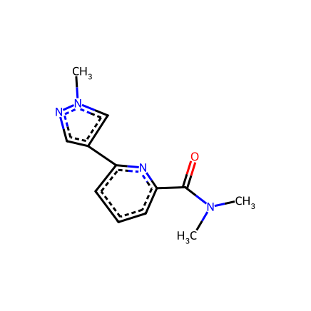 CN(C)C(=O)c1cccc(-c2cnn(C)c2)n1